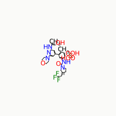 Cc1ccc(NC(=O)N2CC[C@@H](CC(F)(F)F)C2)cc1-c1cc(N[C@H](C)CO)nc(N2CCOCC2)c1.O=S(=O)(O)O